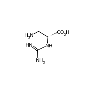 N=C(N)N[C@H](CN)C(=O)O